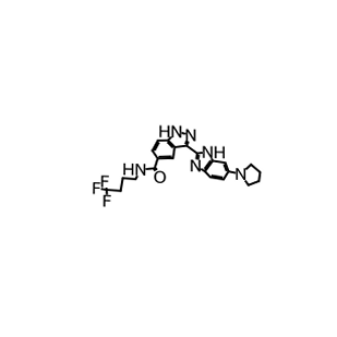 O=C(NCCCC(F)(F)F)c1ccc2[nH]nc(-c3nc4ccc(N5CCCC5)cc4[nH]3)c2c1